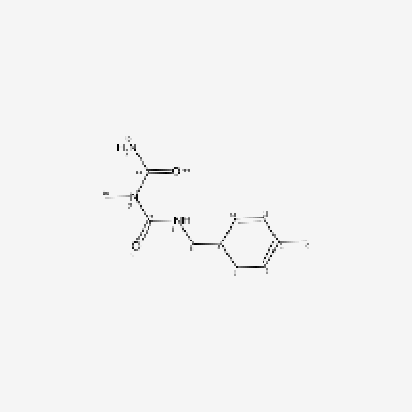 CC1=CCC(CNC(=O)N(C)C(N)=O)C=C1